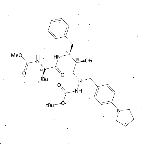 CC[C@H](C)[C@H](NC(=O)OC)C(=O)N[C@@H](Cc1ccccc1)[C@@H](O)CN(Cc1ccc(N2CCCC2)cc1)NC(=O)OC(C)(C)C